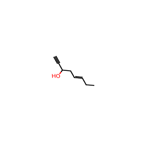 C#CC(O)CC=CCC